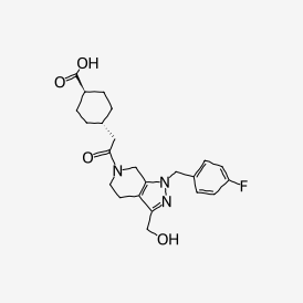 O=C(C[C@H]1CC[C@H](C(=O)O)CC1)N1CCc2c(CO)nn(Cc3ccc(F)cc3)c2C1